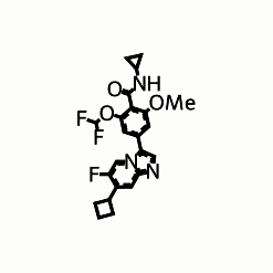 COc1cc(-c2cnc3cc(C4CCC4)c(F)cn23)cc(OC(F)F)c1C(=O)NC1CC1